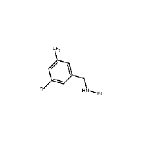 CCNCc1cc(Cl)cc(C(F)(F)F)c1